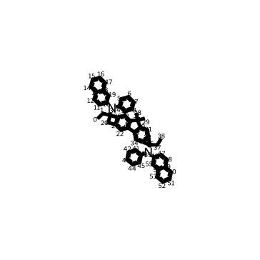 CCC1(N(c2ccccc2)c2ccc3ccccc3c2)Cc2cc3c(cc21)C(C)(C)c1cc2c(cc1-3)C2(CC)N(c1ccccc1)c1ccc2ccccc2c1